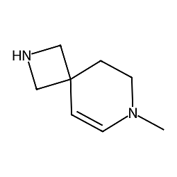 CN1C=CC2(CC1)CNC2